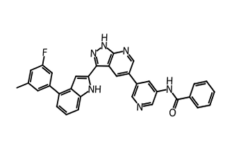 Cc1cc(F)cc(-c2cccc3[nH]c(-c4n[nH]c5ncc(-c6cncc(NC(=O)c7ccccc7)c6)cc45)cc23)c1